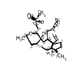 C=C1CC[C@H]2[C@H](CN=[N+]=[N-])[C@@H]([C@@]3(C)CC[C@H](C)C[C@@H]3COS(C)(=O)=O)CC[C@]12C